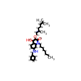 CCCCCCCCn1c(=O)c(OC/C=C(\C)CCC=C(C)C)c(O)c2ccc(NCc3ccccc3)cc21